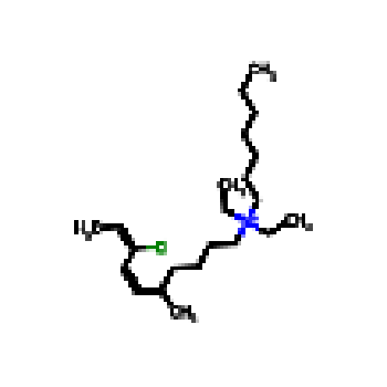 C/C=C(Cl)\C=C/C(C)CCCC[N+](CC)(CC)CCCCCCC